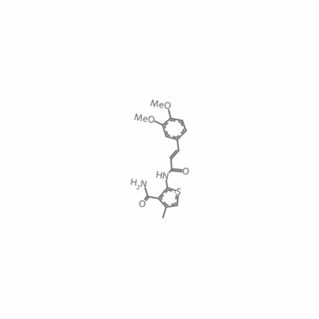 COc1ccc(C=CC(=O)Nc2scc(C)c2C(N)=O)cc1OC